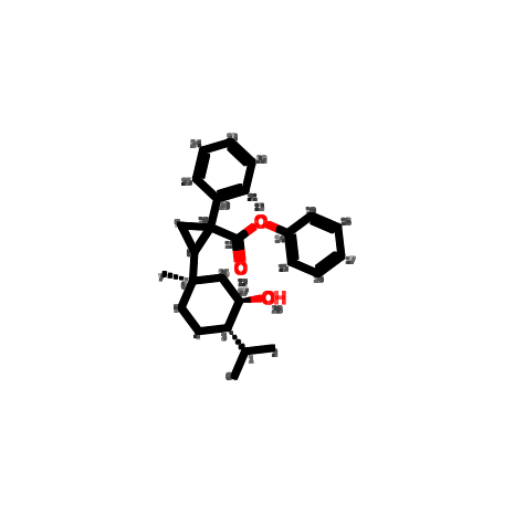 CC(C)[C@@H]1CC[C@@](C)(C2CC2(C(=O)Oc2ccccc2)c2ccccc2)C[C@H]1O